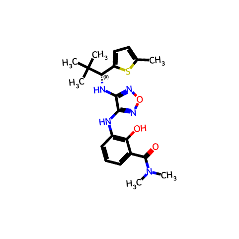 Cc1ccc([C@H](Nc2nonc2Nc2cccc(C(=O)N(C)C)c2O)C(C)(C)C)s1